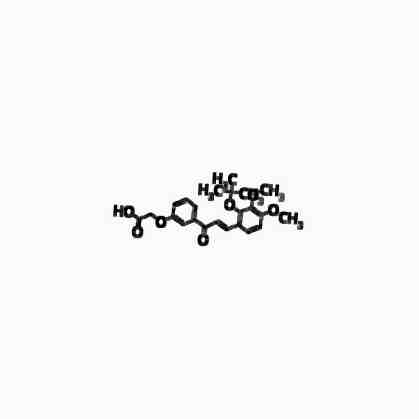 COc1ccc(/C=C/C(=O)c2cccc(OCC(=O)O)c2)c(OC(C)(C)C)c1OC